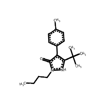 CCCCn1[nH]c(C(C)(C)C)c(-c2ccc(C)cc2)c1=O